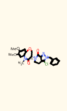 COc1cc2c(cc1OC)N(C)C(=O)[C@@H](N1CCc3c(nn(Cc4ccccc4)c3Cl)C1=O)CO2